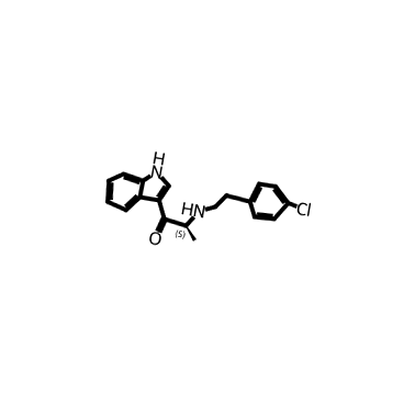 C[C@H](NCCc1ccc(Cl)cc1)C(=O)c1c[nH]c2ccccc12